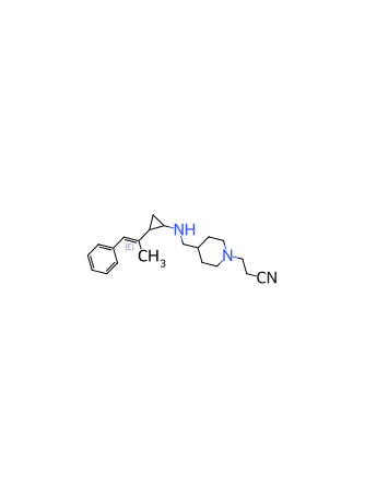 C/C(=C\c1ccccc1)C1CC1NCC1CCN(CCC#N)CC1